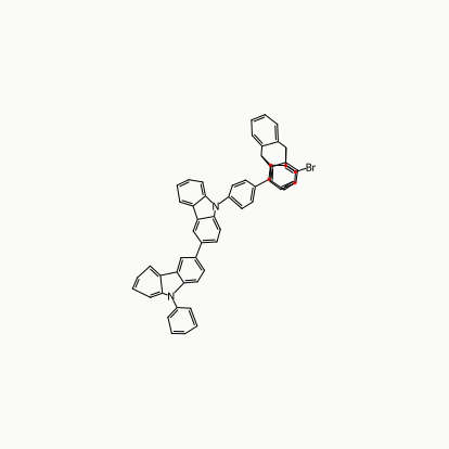 Brc1ccc(-c2ccc(-n3c4ccccc4c4cc(-c5ccc6c(c5)c5ccccc5n6-c5ccccc5)ccc43)cc2)c2c1C1c3ccccc3C2c2ccccc21